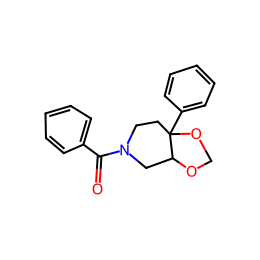 O=C(c1ccccc1)N1CCC2(c3ccccc3)OCOC2C1